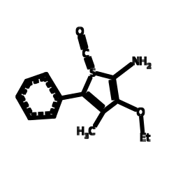 CCOC1=C(N)S(=C=O)C(c2ccccc2)=C1C